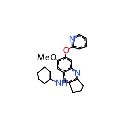 COc1cc2c(NC3CCCCC3)c3c(nc2cc1Oc1ccccn1)CCC3